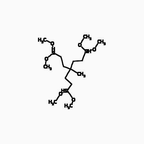 CO[SiH](CCC(C)(CC[SiH](OC)OC)CC[SiH](OC)OC)OC